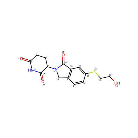 O=C1CCC(N2Cc3ccc(SCCO)cc3C2=O)C(=O)N1